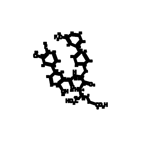 O=C(O)CC[C@H](NC(=O)[C@H](Cc1ccc(-c2cccc(C(F)(F)F)c2)cc1)NC(=O)c1cc(-c2ccc(F)c(Cl)c2)ccc1O)C(=O)O